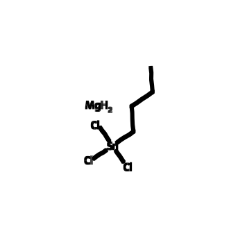 CCC[CH2][Sn]([Cl])([Cl])[Cl].[MgH2]